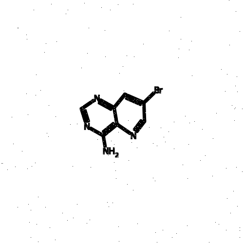 Nc1ncnc2cc(Br)cnc12